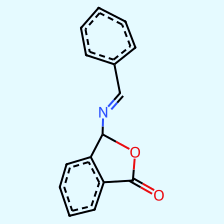 O=C1OC(N=Cc2ccccc2)c2ccccc21